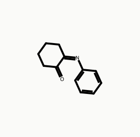 O=C1CCCCC1=Nc1ccccc1